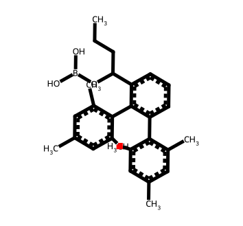 CCCC(OB(O)O)c1cccc(-c2c(C)cc(C)cc2C)c1-c1c(C)cc(C)cc1C